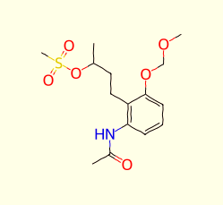 COCOc1cccc(NC(C)=O)c1CCC(C)OS(C)(=O)=O